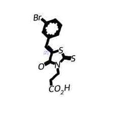 O=C(O)CCN1C(=O)/C(=C/c2cccc(Br)c2)SC1=S